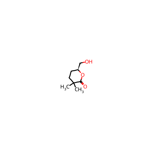 CC1(C)CC[C@@H](CO)OC1=O